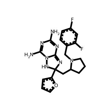 NC1=NC2=NC(CC3CCCN3Cc3ccc(F)cc3F)(c3ccco3)NN2C(N)=N1